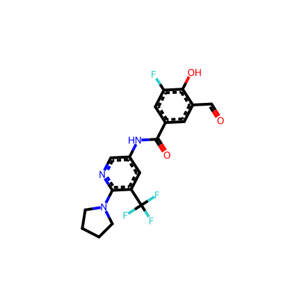 O=Cc1cc(C(=O)Nc2cnc(N3CCCC3)c(C(F)(F)F)c2)cc(F)c1O